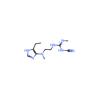 CCc1[nH]cnc1N(C)CCN/C(=N/C)NC#N